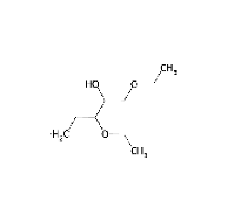 [CH2]CC(OCC)C(O)COCC